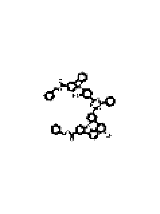 N#Cc1ccc(-c2cc(-c3nc(-c4ccccc4)nc(-c4ccc(-n5c6ccccc6c6cc(C(=O)OCc7ccccc7)ccc65)c(C#N)c4)n3)ccc2-n2c3ccccc3c3cc(C(=O)OCc4ccccc4)ccc32)cc1